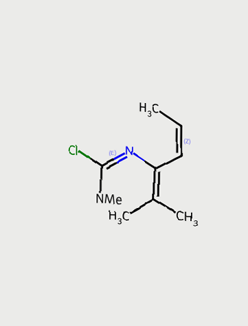 C/C=C\C(/N=C(/Cl)NC)=C(C)C